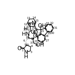 O=C1NCC[C@H]1C[C@H](NC(=O)[C@H]1C2CCC(CC2)N1C(=O)C1(O)c2ccccc2-c2ccccc21)C(=O)CO